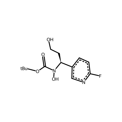 CC(C)(C)OC(=O)N(O)[C@@H](CCO)c1ccc(F)nc1